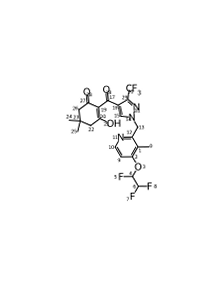 Cc1c(OC(F)C(F)F)ccnc1Cn1cc(C(=O)C2=C(O)CC(C)(C)CC2=O)c(C(F)(F)F)n1